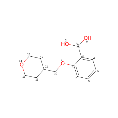 OB(O)c1ccccc1OCC1CCOCC1